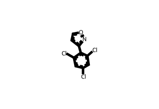 Clc1cc(Cl)c(-c2ccon2)c(Cl)c1